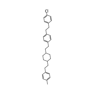 Cc1ccc(CCC2CCC(CCc3ccc(CCc4ccc(Cl)cc4)cc3)CC2)cc1